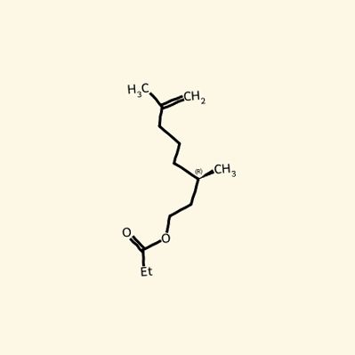 C=C(C)CCC[C@@H](C)CCOC(=O)CC